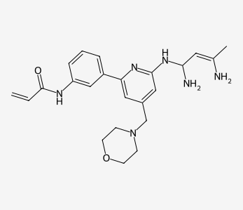 C=CC(=O)Nc1cccc(-c2cc(CN3CCOCC3)cc(NC(N)/C=C(/C)N)n2)c1